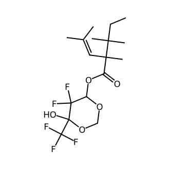 CCC(C)(C)C(C)(C=C(C)C)C(=O)OC1OCOC(O)(C(F)(F)F)C1(F)F